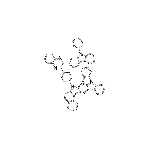 c1ccc(-n2c3ccccc3c3ccc(-c4nc5ccccc5nc4-c4ccc(-n5c6ccc7ccccc7c6c6cc7c8ccccc8n8c9ccccc9c(c65)c78)cc4)cc32)cc1